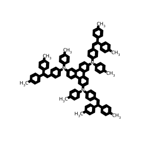 Cc1ccc(C(=Cc2ccc(N(c3ccc(C)cc3)c3ccc4c(c3)c3ccc(N(c5ccc(C)cc5)c5ccc(C=C(c6ccc(C)cc6)c6ccc(C)cc6)cc5)cc3c3ccc(N(c5ccc(C)cc5)c5ccc(C=C(c6ccc(C)cc6)c6ccc(C)cc6)cc5)cc43)cc2)c2ccc(C)cc2)cc1